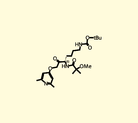 COC(C)(C)C(=O)N[C@@H](CCCCNC(=O)OC(C)(C)C)C(=O)COc1cc(C)nc(C)c1